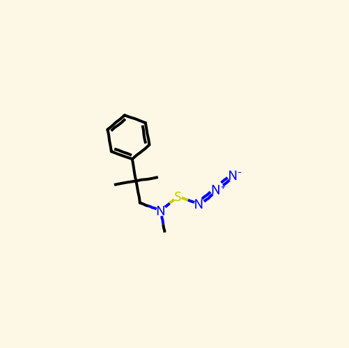 CN(CC(C)(C)c1ccccc1)SN=[N+]=[N-]